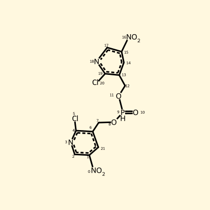 O=[N+]([O-])c1cnc(Cl)c(CO[PH](=O)OCc2cc([N+](=O)[O-])cnc2Cl)c1